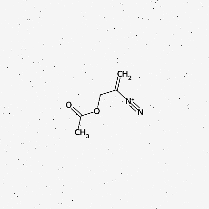 C=C(COC(C)=O)[N+]#N